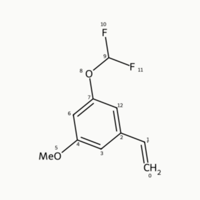 C=[C]c1cc(OC)cc(OC(F)F)c1